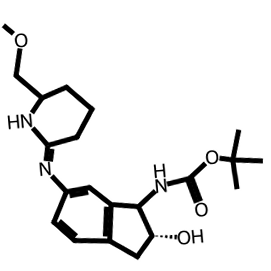 COCC1CCCC(=Nc2ccc3c(c2)C(NC(=O)OC(C)(C)C)[C@H](O)C3)N1